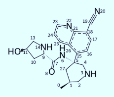 C[C@@H]1CNC[C@](NC(=O)[C@@H]2C[C@@H](O)CN2)(c2ccc(C#N)c3ncccc23)C1